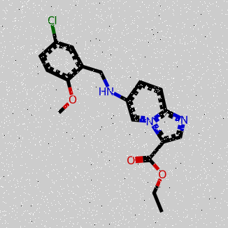 CCOC(=O)c1cnc2ccc(NCc3cc(Cl)ccc3OC)cn12